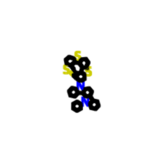 c1ccc(-n2c3ccccc3c3ccc4c(c5ccccc5n4-c4cc5sc6ccc7sc8ccc9sc4c4c5c6c7c8c94)c32)cc1